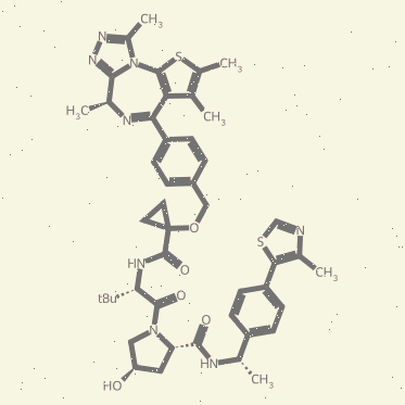 Cc1ncsc1-c1ccc([C@H](C)NC(=O)[C@@H]2C[C@@H](O)CN2C(=O)[C@@H](NC(=O)C2(OCc3ccc(C4=N[C@@H](C)c5nnc(C)n5-c5sc(C)c(C)c54)cc3)CC2)C(C)(C)C)cc1